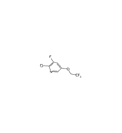 Fc1cc(OCC(F)(F)F)cnc1Cl